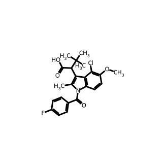 COc1ccc2c(c1Cl)c(C(C(=O)O)C(C)(C)C)c(C)n2C(=O)c1ccc(F)cc1